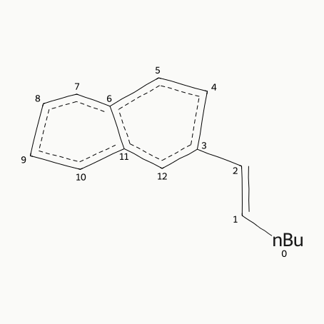 [CH2]CCCC=Cc1ccc2ccccc2c1